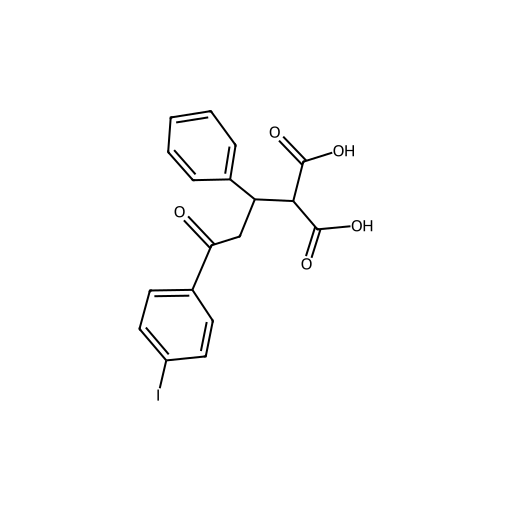 O=C(CC(c1ccccc1)C(C(=O)O)C(=O)O)c1ccc(I)cc1